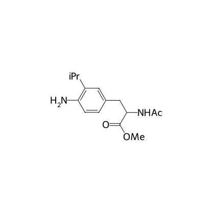 COC(=O)C(Cc1ccc(N)c(C(C)C)c1)NC(C)=O